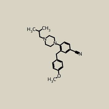 COc1ccc(Cc2cc(C#N)ccc2N2CCN(C[C](C)C)CC2)cc1